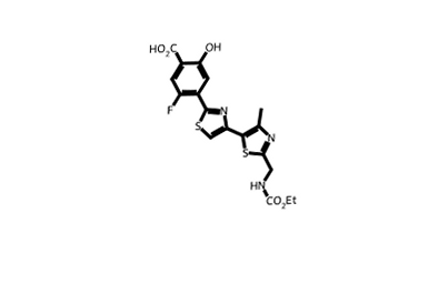 CCOC(=O)NCc1nc(C)c(-c2csc(-c3cc(O)c(C(=O)O)cc3F)n2)s1